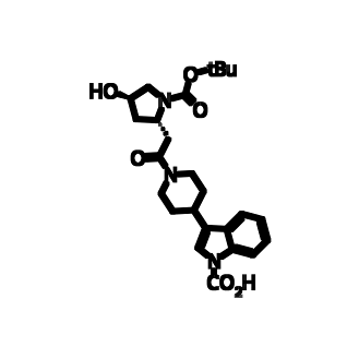 CC(C)(C)OC(=O)N1C[C@H](O)C[C@H]1CC(=O)N1CCC(c2cn(C(=O)O)c3ccccc23)CC1